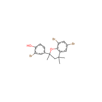 CC1(C)CC(C)(c2ccc(O)c(Br)c2)Oc2c(Br)cc(Br)cc21